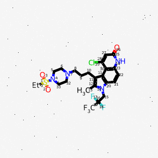 CCS(=O)(=O)N1CCN(CCCc2c(C)n(CC(F)(F)C(F)(F)F)c3ccc4[nH]c(=O)cc(Cl)c4c23)CC1